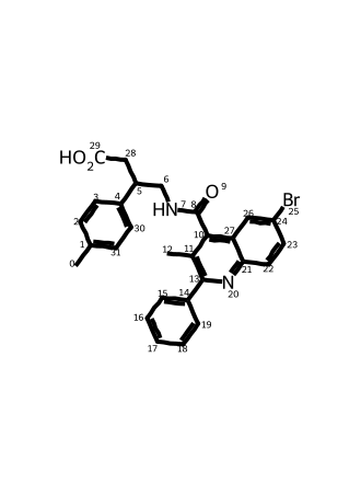 Cc1ccc(C(CNC(=O)c2c(C)c(-c3ccccc3)nc3ccc(Br)cc23)CC(=O)O)cc1